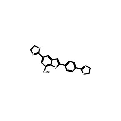 COc1cc(C2=NCCN2)cc2cc(-c3ccc(C4=NCCN4)cc3)oc12